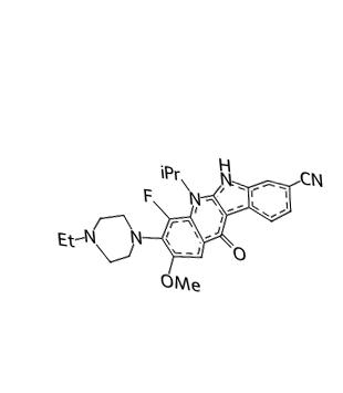 CCN1CCN(c2c(OC)cc3c(=O)c4c5ccc(C#N)cc5[nH]c4n(C(C)C)c3c2F)CC1